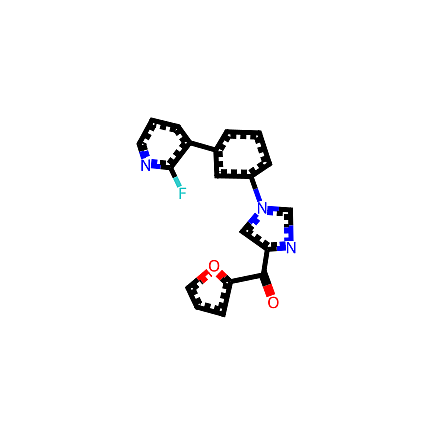 O=C(c1cn(-c2cccc(-c3cccnc3F)c2)cn1)c1ccco1